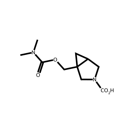 CN(C)C(=O)OCC12CC1CN(C(=O)O)C2